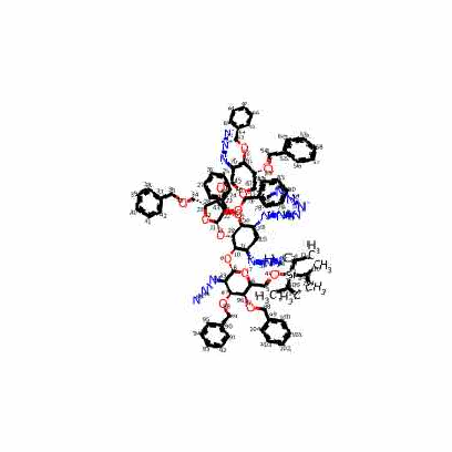 CC(C)[Si](OCC1O[C@H](O[C@@H]2C(N=[N+]=[N-])C[C@H](N=[N+]=[N-])C(OCc3ccccc3)[C@H]2O[C@@H]2O[C@H](COCc3ccccc3)[C@H](O[C@H]3O[C@@H](CN=[N+]=[N-])[C@@H](OCc4ccccc4)C(OCc4ccccc4)C3N=[N+]=[N-])C2OCc2ccccc2)C(N=[N+]=[N-])[C@H](OCc2ccccc2)[C@@H]1OCc1ccccc1)(C(C)C)C(C)C